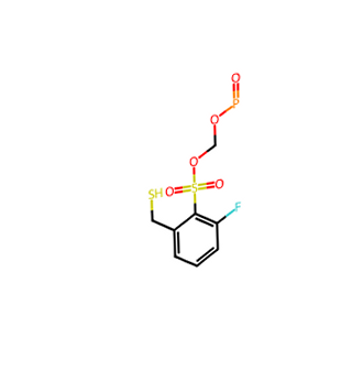 O=POCOS(=O)(=O)c1c(F)cccc1CS